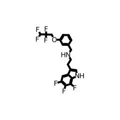 Fc1cc2c(CCNCc3cccc(OCC(F)(F)C(F)F)c3)c[nH]c2c(F)c1F